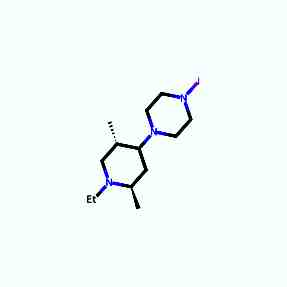 CCN1C[C@H](C)C(N2CCN(I)CC2)C[C@H]1C